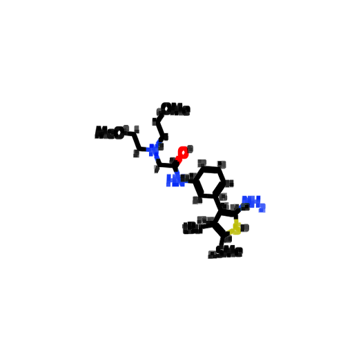 COCCN(CCOC)CC(=O)Nc1cccc(-c2c(N)sc(SC)c2C(C)(C)C)c1